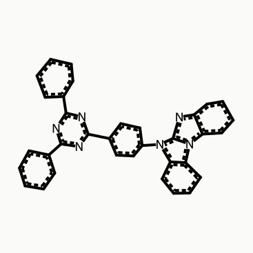 c1ccc(-c2nc(-c3ccccc3)nc(-c3ccc(-n4c5ccccc5n5c6ccccc6nc45)cc3)n2)cc1